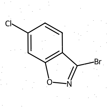 Clc1ccc2c(Br)noc2c1